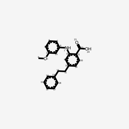 COc1cccc(Nc2cc(CCc3ccccc3)ccc2C(=O)O)c1